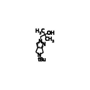 CC(C)(O)Cn1cc2c(n1)CN(C(C)(C)C)C2